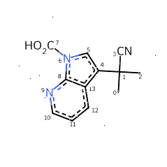 CC(C)(C#N)c1cn(C(=O)O)c2ncccc12